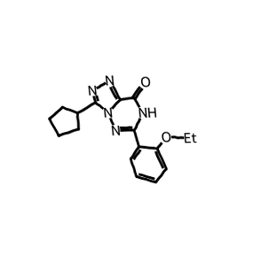 CCOc1ccccc1-c1nn2c(C3CCCC3)nnc2c(=O)[nH]1